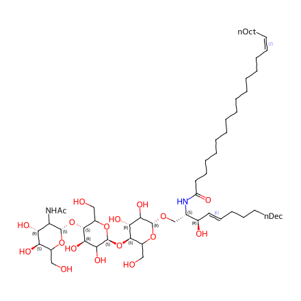 CCCCCCCC/C=C\CCCCCCCCCCCCCC(=O)N[C@@H](CO[C@@H]1OC(CO)[C@@H](O[C@@H]2OC(CO)[C@@H](O[C@@H]3OC(CO)[C@@H](O)[C@H](O)C3NC(C)=O)[C@H](O)C2O)[C@H](O)C1O)[C@H](O)/C=C/CCCCCCCCCCCCC